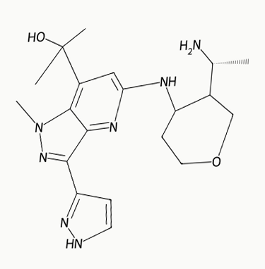 C[C@@H](N)C1COCCC1Nc1cc(C(C)(C)O)c2c(n1)c(-c1cc[nH]n1)nn2C